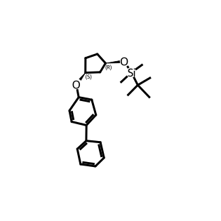 CC(C)(C)[Si](C)(C)O[C@@H]1CC[C@H](Oc2ccc(-c3ccccc3)cc2)C1